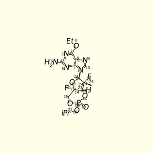 CCOc1nc(N)nc2c1ncn2[C@@H]1O[C@]2(F)CO[P@@](=O)(OC(C)C)O[C@H]2[C@@]1(C)F